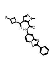 Cn1ncc(C(=O)N2CC(F)C2)c1C(=O)Nc1ccn2nc(-c3ccccc3)nc2c1